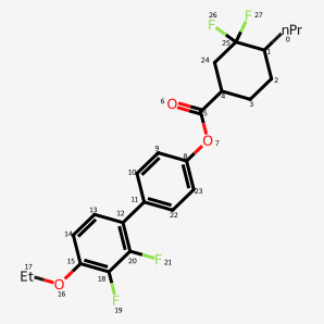 CCCC1CCC(C(=O)Oc2ccc(-c3ccc(OCC)c(F)c3F)cc2)CC1(F)F